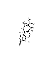 C[C@@]12CCC(=O)C[C@@H]1CC[C@@H]1C3CC[C@@H](O)[C@]3(C)CC[C@H]12